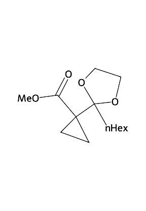 CCCCCCC1(C2(C(=O)OC)CC2)OCCO1